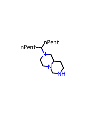 CCCCCC(CCCCC)N1CCN2CNCCC2C1